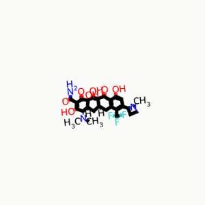 CN1CCC1c1cc(O)c2c(c1C(F)(F)F)C[C@H]1C[C@H]3[C@H](N(C)C)C(O)=C(C(N)=O)C(=O)[C@@]3(O)C(O)=C1C2=O